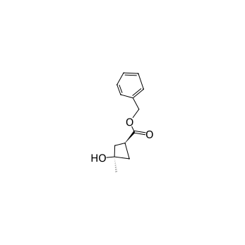 C[C@]1(O)C[C@@H](C(=O)OCc2ccccc2)C1